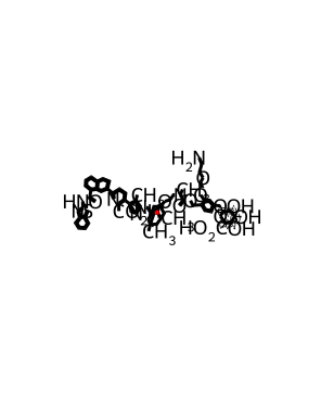 Cc1c(-c2ccc(-c3ccc4cccc(C(=O)Nc5nc6ccccc6s5)c4c3)nc2C(=O)O)cnn1CC12CC3(C)CC(C)(C1)CC(OCCN(C)C(=O)OCc1ccc(O[C@@H]4O[C@H](C(=O)O)[C@@H](O)[C@H](O)[C@H]4O)cc1OCCOCCN)(C3)C2